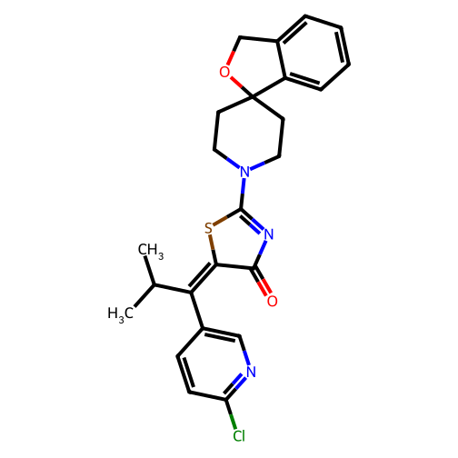 CC(C)/C(=C1\SC(N2CCC3(CC2)OCc2ccccc23)=NC1=O)c1ccc(Cl)nc1